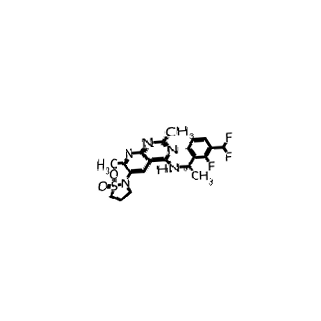 Cc1nc(N[C@H](C)c2cccc(C(F)F)c2F)c2cc(N3CCCS3(=O)=O)c(C)nc2n1